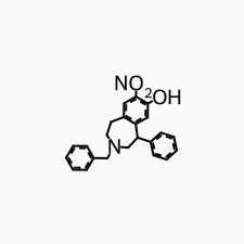 O=[N+]([O-])c1cc2c(cc1O)C(c1ccccc1)CN(Cc1ccccc1)CC2